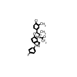 Cc1cc([C@H](Oc2ccc3c(cnn3-c3ccc(F)cc3)c2)[C@H](C)NC(=O)C(F)(F)F)ccc1Cl